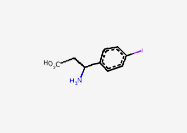 NC(CC(=O)O)c1ccc(I)cc1